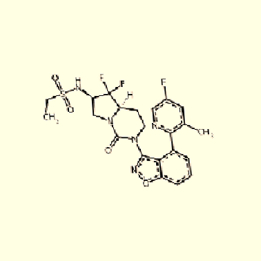 CCS(=O)(=O)N[C@@H]1CN2C(=O)N(c3noc4cccc(-c5ncc(F)cc5C)c34)CC[C@@H]2C1(F)F